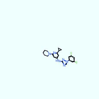 Fc1cc(F)cc(-n2cnc(Nc3cc(C4CC4)nc(N4CCCCC4)c3)n2)c1